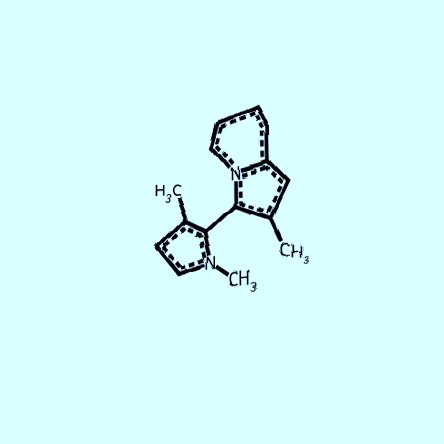 Cc1ccn(C)c1-c1c(C)cc2ccccn12